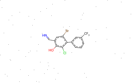 N=Cc1cc(Br)c(-c2cccc(C(F)(F)F)c2)c(Cl)c1O